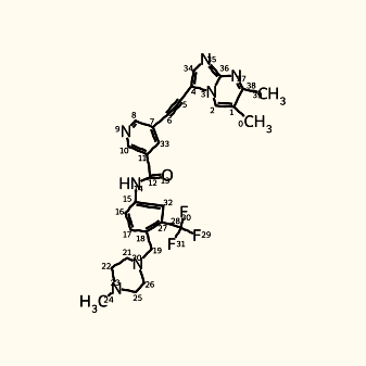 Cc1cn2c(C#Cc3cncc(C(=O)Nc4ccc(CN5CCN(C)CC5)c(C(F)(F)F)c4)c3)cnc2nc1C